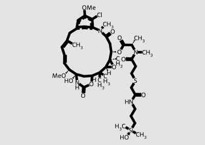 COc1cc2cc(c1Cl)N(C)C(=O)C[C@H](OC(=O)[C@H](C)N(C)C(=O)CCSCC(=O)NCCC[Si](C)(C)O)[C@@]1(C)O[C@H]1C(C)(C)[C@@H]1C[C@@](O)(NC(=O)O1)[C@H](OC)/C=C/C=C(\C)C2